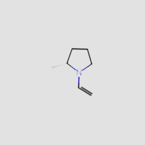 C=CN1CCC[C@H]1C